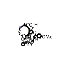 COc1ccc2c(O[C@H]3CC4C(=O)[C@@H](NC(=O)OC5CCCC5)CCCCC/C=C\C5C[C@@]5(C(=O)O)CC(=O)[C@@H]4C3)cc(-c3csc(NC(C)C)n3)nc2c1